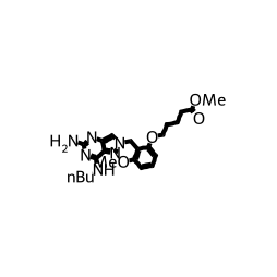 CCCCNc1nc(N)nc2cn(Cc3c(OC)cccc3OCCCCC(=O)OC)nc12